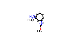 CCO/C=N/C1CCCCC(N)(C(=O)O)C1